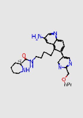 CCCOCc1ncc(-c2ccc3ncc(N)cc3c2CCCCNC(=O)[C@@H]2CCCCN2)cn1